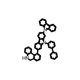 c1ccc(-c2cccc(-n3c4cc(-c5cccc6c5-c5ccccc5NC6)ccc4c4ccc(-n5c6ccccc6c6ccccc65)cc43)c2)cc1